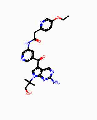 CCOc1ccc(CC(=O)Nc2cncc(C(=O)c3cn(C(C)(C)CO)c4nc(N)ncc34)c2)nc1